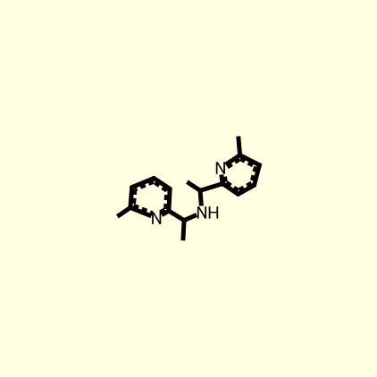 Cc1cccc(C(C)NC(C)c2cccc(C)n2)n1